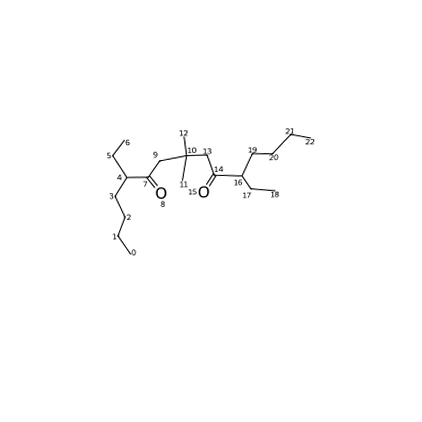 CCCCC(CC)C(=O)CC(C)(C)CC(=O)C(CC)CCCC